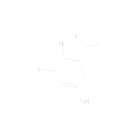 Cc1n[nH]c2c(F)cc(N)cc12